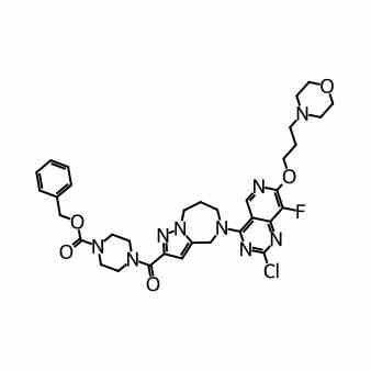 O=C(OCc1ccccc1)N1CCN(C(=O)c2cc3n(n2)CCCN(c2nc(Cl)nc4c(F)c(OCCCN5CCOCC5)ncc24)C3)CC1